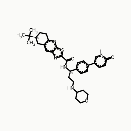 CC(C)(C)[C@H]1CCc2nc3sc(C(=O)N[C@H](CCNC4CCOCC4)c4ccc(-c5ccc(=O)[nH]c5)cc4)nc3cc2C1